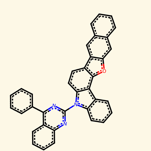 c1ccc(-c2nc(-n3c4ccccc4c4c5oc6cc7ccccc7cc6c5ccc43)nc3ccccc23)cc1